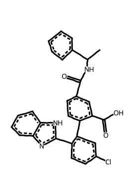 CC(NC(=O)c1ccc(-c2cc(Cl)ccc2-c2nc3ccccc3[nH]2)c(C(=O)O)c1)c1ccccc1